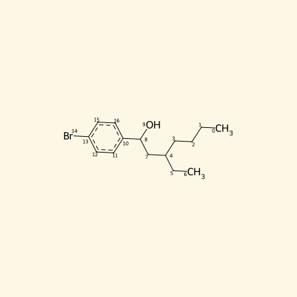 CCCCC(CC)CC(O)c1ccc(Br)cc1